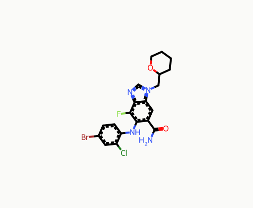 NC(=O)c1cc2c(ncn2CC2CCCCO2)c(F)c1Nc1ccc(Br)cc1Cl